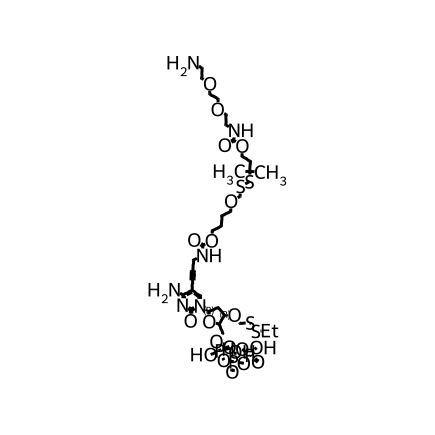 CCSSCO[C@@H]1C[C@H](n2cc(C#CCNC(=O)OCCCCOCSSC(C)(C)CCOC(=O)NCCOCCOCCN)c(N)nc2=O)OC1COP(=O)(O)OP(=O)(O)OP(=O)(O)O